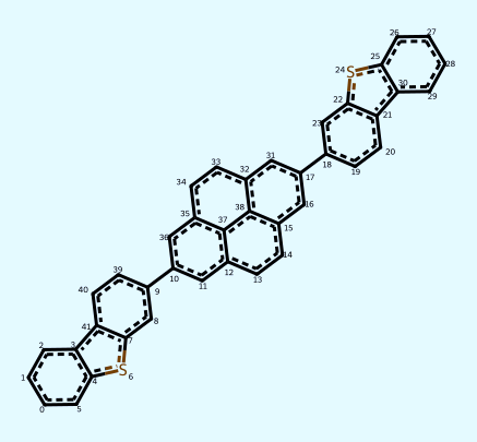 c1ccc2c(c1)sc1cc(-c3cc4ccc5cc(-c6ccc7c(c6)sc6ccccc67)cc6ccc(c3)c4c56)ccc12